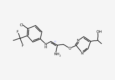 CC(O)c1cnc(OC/C(N)=C/Nc2ccc(Cl)c(C(C)(F)F)c2)nc1